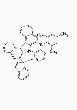 Cc1cc(C)c(B2c3cccc4c3-n3c5c2cc2ccccc2c5c2c5ccccc5cc(c23)C42c3ccccc3-c3ccccc32)c(C)c1